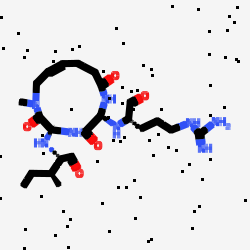 CC[C@H](C)[C@@H](C=O)N[C@@H]1NC(=O)[C@H](N[C@H](C=O)CCCNC(=N)N)NC(=O)CCC=CCN(C)C1=O